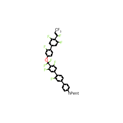 CCCCCc1ccc(-c2ccc(-c3cc(F)c(C(F)(F)Oc4ccc(-c5cc(F)c(/C(F)=C/C(F)(F)F)c(F)c5)c(F)c4)c(F)c3)c(F)c2)cc1